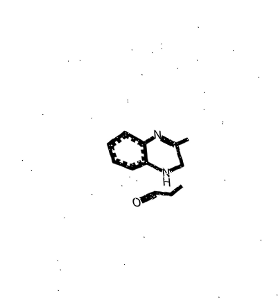 CC1=Nc2ccccc2NC1.CCC=O